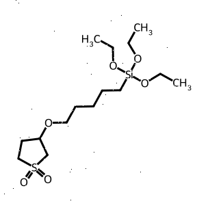 CCO[Si](CCCCCOC1CCS(=O)(=O)C1)(OCC)OCC